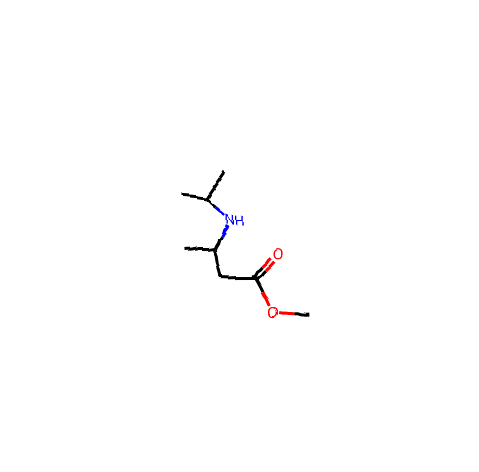 COC(=O)CC(C)NC(C)C